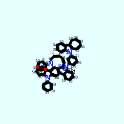 C=C1/C=C\C=C/CN(c2ccccc2)c2c1c(-c1ccccc1Nc1cccc(-n3c4c(c5ccccc53)CC=CC=C4)c1)cc1c2c2ccccc2n1-c1ccccc1